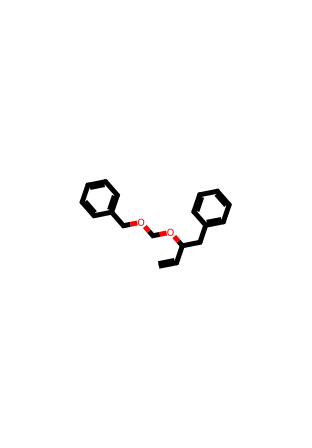 C=CC(Cc1ccccc1)OCOCc1ccccc1